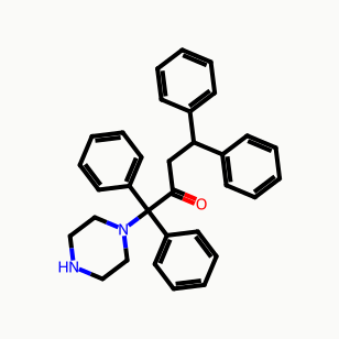 O=C(CC(c1ccccc1)c1ccccc1)C(c1ccccc1)(c1ccccc1)N1CCNCC1